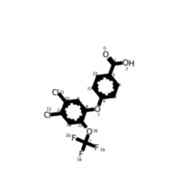 O=C(O)c1ccc(Oc2cc(Cl)c(Cl)cc2OC(F)(F)F)cc1